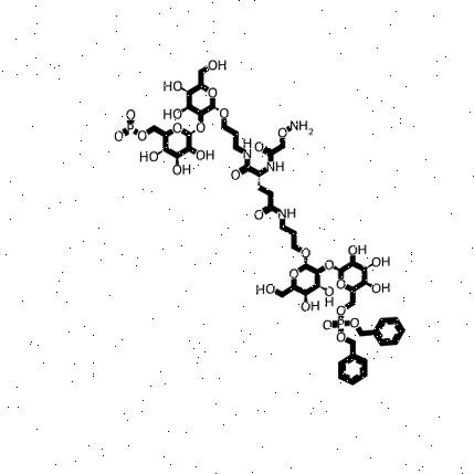 NOCC(=O)N[C@H](CCC(=O)NCCCO[C@@H]1OC(CO)[C@H](O)[C@@H](O)C1O[C@@H]1OC(COP(=O)(OCc2ccccc2)OCc2ccccc2)[C@H](O)[C@@H](O)C1O)C(=O)NCCCO[C@H]1OC(CO)[C@@H](O)[C@H](O)C1O[C@H]1OC(COP(=O)=O)[C@@H](O)[C@H](O)C1O